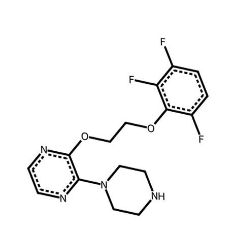 Fc1ccc(F)c(OCCOc2nccnc2N2CCNCC2)c1F